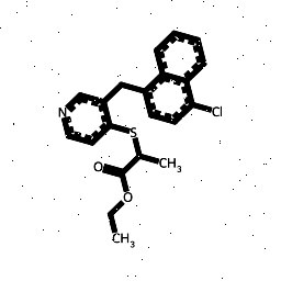 CCOC(=O)C(C)Sc1ccncc1Cc1ccc(Cl)c2ccccc12